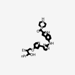 CCCC(O)C(CC)COc1ccnc(-c2ccnc(Nc3ccc4[nH]c(C(=O)N5CCNCC5)cc4c3)n2)c1